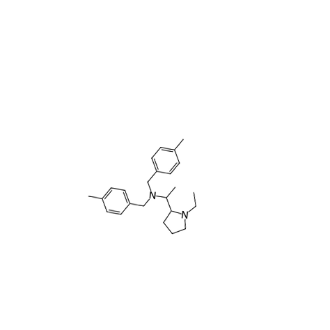 CCN1CCCC1C(C)N(Cc1ccc(C)cc1)Cc1ccc(C)cc1